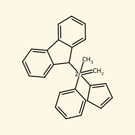 [CH2]=[Zr]([CH3])([C]1=CC=CC1)([c]1ccccc1)[CH]1c2ccccc2-c2ccccc21